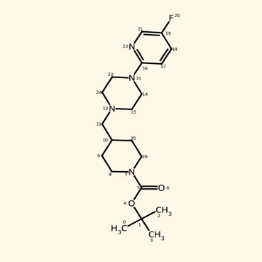 CC(C)(C)OC(=O)N1CCC(CN2CCN(c3ccc(F)cn3)CC2)CC1